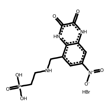 Br.O=c1[nH]c2cc([N+](=O)[O-])cc(CNCCP(=O)(O)O)c2[nH]c1=O